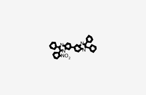 O=[N+]([O-])c1ccccc1-c1nc2cc(-c3ccc4nc(-c5ccccc5)c(-c5ccccc5)nc4c3)ccc2nc1-c1ccccc1